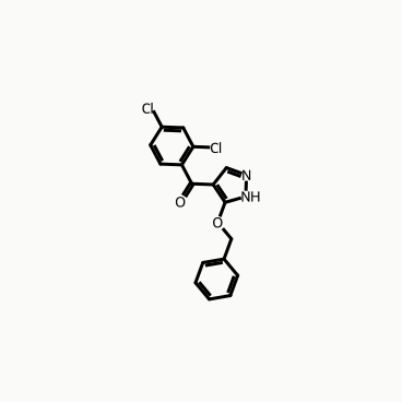 O=C(c1ccc(Cl)cc1Cl)c1cn[nH]c1OCc1ccccc1